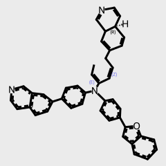 C/C=C(\C=C/CC1=CC2C=NC=C[C@H]2C=C1)N(c1ccc(-c2ccc3ccncc3c2)cc1)c1ccc(-c2cc3ccccc3o2)cc1